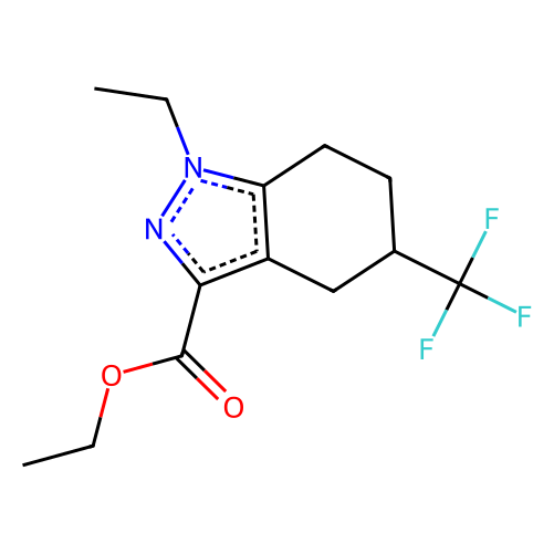 CCOC(=O)c1nn(CC)c2c1CC(C(F)(F)F)CC2